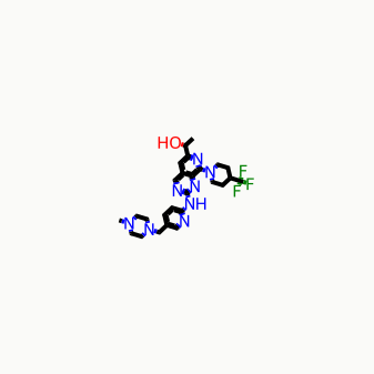 CC(O)c1cc2cnc(Nc3ccc(CN4CCN(C)CC4)cn3)nc2c(N2CCC(C(F)(F)F)CC2)n1